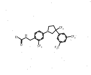 CCC(=O)NCc1ccc(N2CCC(c3cc(C(F)(F)F)cc(C(F)(F)F)c3)(C(F)(F)F)C2)cc1C(F)(F)F